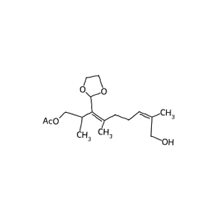 CC(=O)OCC(C)C(=C(C)CCC=C(C)CO)C1OCCO1